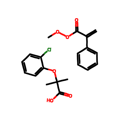 C=C(C(=O)OOC)c1ccccc1.CC(C)(Oc1ccccc1Cl)C(=O)O